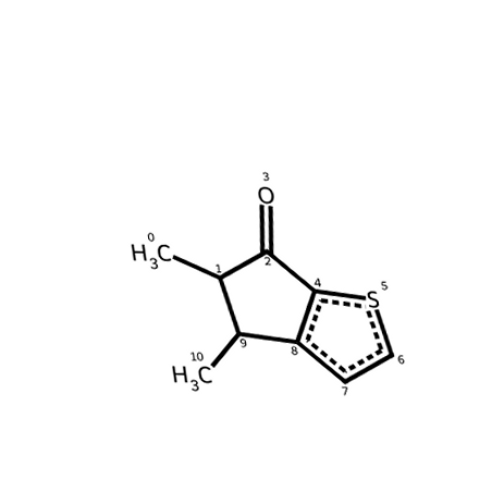 CC1C(=O)c2sccc2C1C